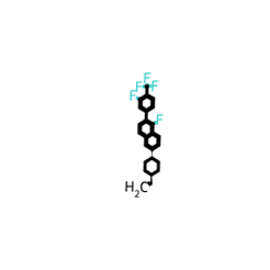 C=C[C@H]1CC[C@H](c2ccc3c(F)c(-c4ccc(C(F)(F)F)c(F)c4)ccc3c2)CC1